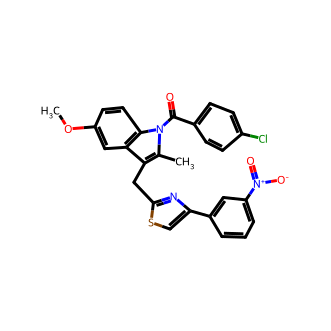 COc1ccc2c(c1)c(Cc1nc(-c3cccc([N+](=O)[O-])c3)cs1)c(C)n2C(=O)c1ccc(Cl)cc1